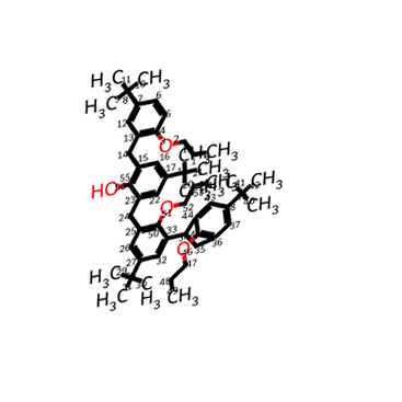 CCCOc1ccc(C(C)(C)C)cc1Cc1cc(C(C)(C)C)cc(Cc2cc(C(C)(C)C)cc(C3Cc4cc(C(C)(C)C)cc3c4OCCC)c2OCCC)c1O